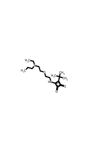 CCCN(CC)CCOCCNc1c(C(C)(C)C)c(=O)c1=O